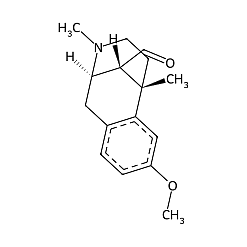 COc1ccc2c(c1)[C@@]1(C)CCN(C)[C@H](C2)[C@@H]1C=O